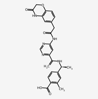 C=C(N[C@@H](C)c1ccc(C(=O)O)c(C)c1)c1cc(NC(=O)Cc2ccc3c(c2)NC(=O)CO3)ncn1